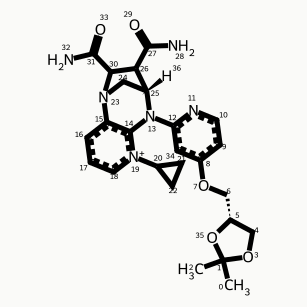 CC1(C)OC[C@@H](COc2ccnc(N3c4c(ccc[n+]4C4CC4)N4C[C@@H]3C(C(N)=O)C4C(N)=O)c2)O1